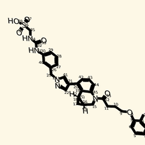 Cc1c(Cl)cccc1OCCCC(=O)N1C[C@@H]2C[C@@H]2c2c(-c3cnn(Cc4cccc(NC(=O)NCS(=O)(=O)O)c4)c3)cccc21